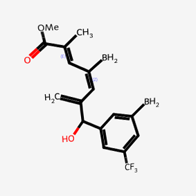 BC(=C/C(=C)C(O)c1cc(B)cc(C(F)(F)F)c1)/C=C(\C)C(=O)OC